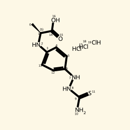 C[C@H](Nc1ccc(NNC(N)=S)cc1)C(=O)O.Cl.Cl.Cl